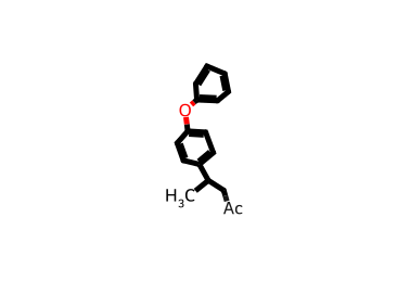 CC(=O)CC(C)c1ccc(Oc2ccccc2)cc1